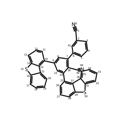 N#Cc1cccc(-c2cc(-c3cccc4sc5ccccc5c34)cc(-c3cccc4sc5ccccc5c34)c2C#N)c1